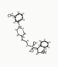 O=S(=O)(CCCN1CCN(c2cccc(Cl)c2)CC1)C1CNc2ccccc21